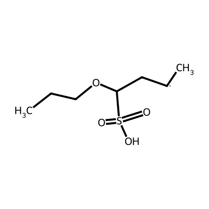 C[CH]CC(OCCC)S(=O)(=O)O